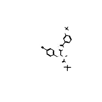 CN(C(=O)OC(C)(C)C)[C@@H](Cc1ccc(C#N)cc1)c1nnc(-c2cccc(OC(F)(F)F)c2)s1